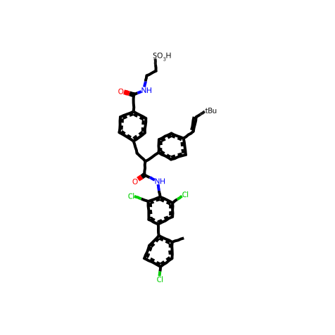 Cc1cc(Cl)ccc1-c1cc(Cl)c(NC(=O)C(Cc2ccc(C(=O)NCCS(=O)(=O)O)cc2)c2ccc(/C=C/C(C)(C)C)cc2)c(Cl)c1